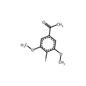 COc1cc(C(C)=O)cc(OC)c1I